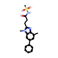 Cc1cc(-c2ccccc2)cc2c1nc(CCC(=O)NS(C)(=O)=O)n2C